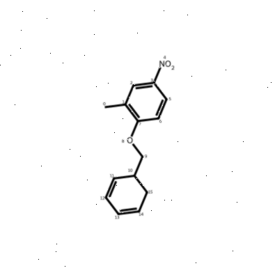 Cc1cc([N+](=O)[O-])ccc1OCC1C=CC=CC1